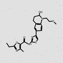 CCc1nc(C)c(C(=O)Nc2nc(-c3ccc4c(c3)CCC(O)N4CCOC)cs2)o1